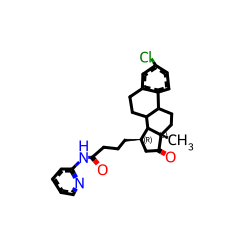 C[C@]12CCC3c4ccc(Cl)cc4CCC3C1[C@H](CCCC(=O)Nc1ccccn1)CC2=O